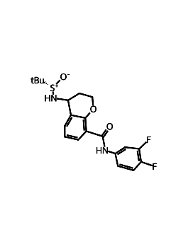 CC(C)(C)[S@+]([O-])NC1CCOc2c(C(=O)Nc3ccc(F)c(F)c3)cccc21